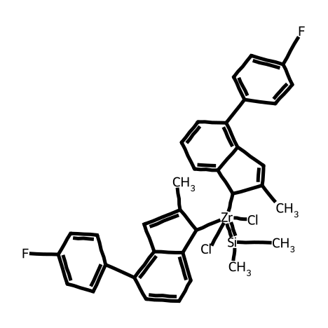 CC1=Cc2c(-c3ccc(F)cc3)cccc2[CH]1[Zr]([Cl])([Cl])([CH]1C(C)=Cc2c(-c3ccc(F)cc3)cccc21)=[Si](C)C